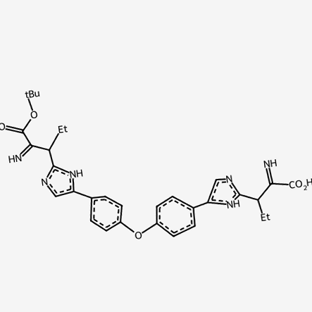 CCC(C(=N)C(=O)O)c1ncc(-c2ccc(Oc3ccc(-c4cnc(C(CC)C(=N)C(=O)OC(C)(C)C)[nH]4)cc3)cc2)[nH]1